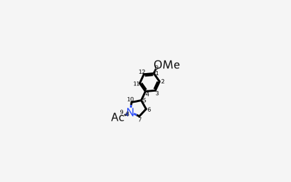 COc1ccc(C2CCN(C(C)=O)C2)cc1